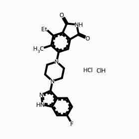 CCc1c(C)c(N2CCN(c3n[nH]c4cc(F)ccc34)CC2)cc2c1C(=O)NC2=O.Cl.Cl